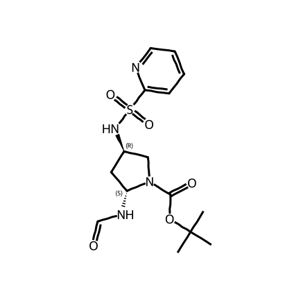 CC(C)(C)OC(=O)N1C[C@H](NS(=O)(=O)c2ccccn2)C[C@H]1NC=O